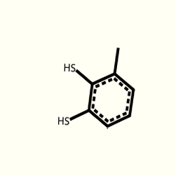 Cc1cc[c]c(S)c1S